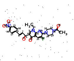 CCn1cc(C(=O)C=Cc2ccc([N+](=O)[O-])cc2)c(=O)c2cc(F)c(N3CCN(C(C)=O)CC3)nc21